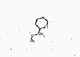 CC(C)O[SiH2]C1CCCCO1